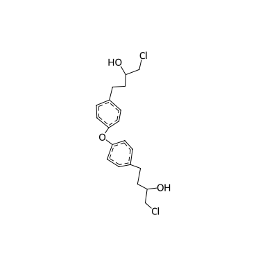 OC(CCl)CCc1ccc(Oc2ccc(CCC(O)CCl)cc2)cc1